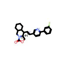 O=C1OC[C@@H]2C(/C=C/c3ccc(-c4cccc(F)c4)nc3)C3CCCCC3CN12